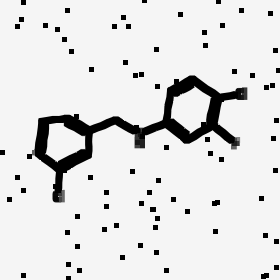 Fc1cc(NCc2cc[c]c(Cl)c2)ccc1Cl